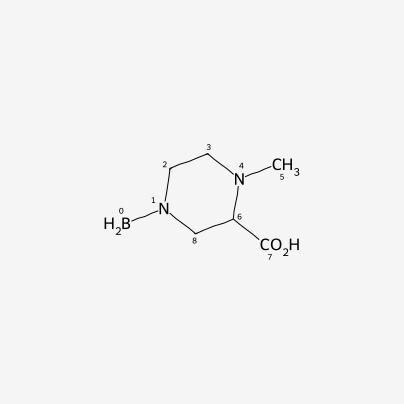 BN1CCN(C)C(C(=O)O)C1